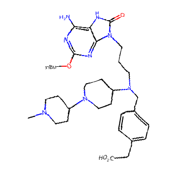 CCCCOc1nc(N)c2[nH]c(=O)n(CCCN(Cc3ccc(CC(=O)O)cc3)C3CCN(C4CCN(C)CC4)CC3)c2n1